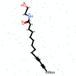 CCCCCCCCCC#CC#CCCCCCCCCC(=O)NCCO